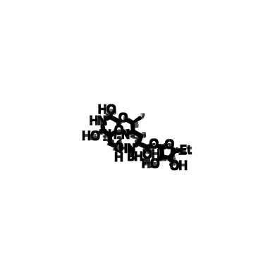 BNC(CC(N)[C@H](C)OC1OC(CO)[C@@H](O)N[C@H]1O)[C@@H](O)OC1OC(CC)C(O)C1O